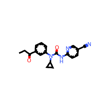 CCC(=O)c1cccc(N(C(=O)Nc2ccc(C#N)cn2)C2CC2)c1